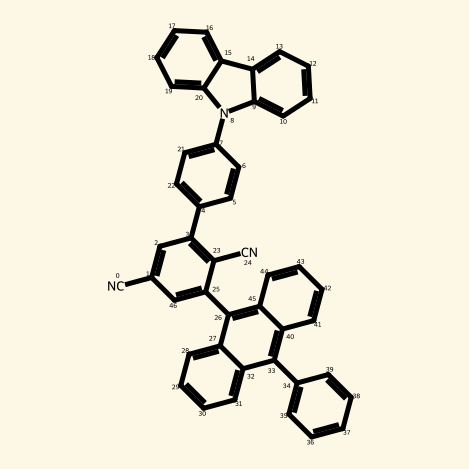 N#Cc1cc(-c2ccc(-n3c4ccccc4c4ccccc43)cc2)c(C#N)c(-c2c3ccccc3c(-c3ccccc3)c3ccccc23)c1